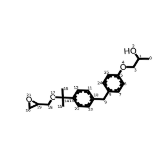 CC(O)COc1ccc(Cc2ccc(C(C)(C)OCC3CO3)cc2)cc1